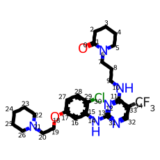 O=C1CCCCN1CCCNc1nc(Nc2cc(OCCN3CCCCC3)ccc2Cl)ncc1C(F)(F)F